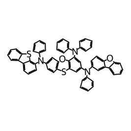 c1ccc(N(c2cc3c(c(N(c4ccccc4)c4ccccc4)c2)Oc2cc(N(c4ccccc4)c4cccc5c4sc4ccccc45)ccc2S3)c2ccc3oc4ccccc4c3c2)cc1